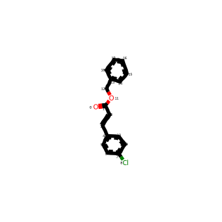 O=C(C=Cc1ccc(Cl)cc1)OCc1ccccc1